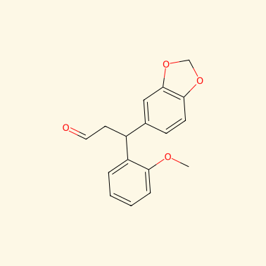 COc1ccccc1C(CC=O)c1ccc2c(c1)OCO2